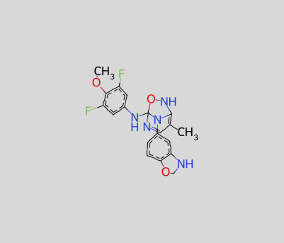 COc1c(F)cc(NC23N=CC(C)=C(NO2)N3c2ccc3c(c2)NCO3)cc1F